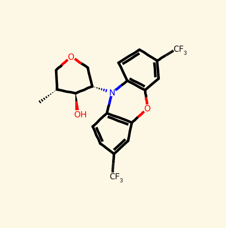 C[C@@H]1COC[C@H](N2c3ccc(C(F)(F)F)cc3Oc3cc(C(F)(F)F)ccc32)[C@H]1O